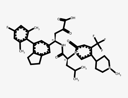 Cc1cc(F)cc(C)c1-c1cc([C@@H](CC(=O)C(=O)O)NC(=O)[C@H](CC(C)C)n2cc(C3CCN(C)CC3)c(C(F)(F)F)cc2=O)cc2c1CCC2